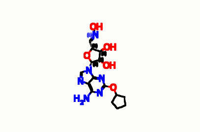 Nc1nc(OC2CCCC2)nc2c1ncn2[C@@H]1O[C@H](/C=N/O)[C@@H](O)[C@H]1O